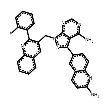 Nc1ccc2cc(-c3nn(Cc4cc5ccccc5nc4-c4ccccc4F)c4ncnc(N)c34)ccc2n1